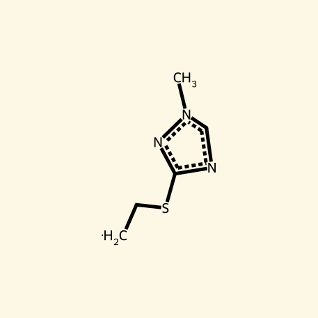 [CH2]CSc1ncn(C)n1